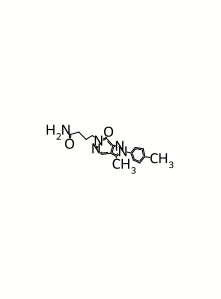 Cc1ccc(-n2nc3c(=O)n(CCCC(N)=O)ncc3c2C)cc1